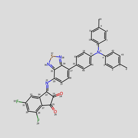 Cc1ccc(N(c2ccc(C)cc2)c2ccc(-c3ccc(/N=c4\c(=O)c(=O)c5c(F)cc(F)cc45)c4nsnc34)cc2)cc1